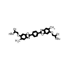 CCCCC(CC)COc1cc2oc(-c3ccc(-c4nc5cc(C)c(OCC(CC)CCCC)cc5o4)cc3)nc2cc1C